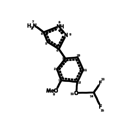 COc1cc(-c2cc(N)[nH]n2)ccc1OC(F)F